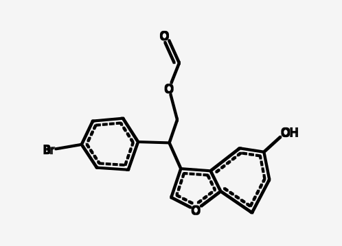 O=COCC(c1ccc(Br)cc1)c1coc2ccc(O)cc12